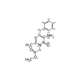 COC(=O)Cn1c(C)cc(Cc2ccccc2)c(N)c1=O